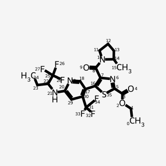 CCOC(=O)c1nc(C(=O)N2CCCC2C)c(-c2cnc(NC(CC)C(F)(F)F)cc2C(F)(F)F)s1